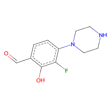 O=Cc1ccc(N2CCNCC2)c(F)c1O